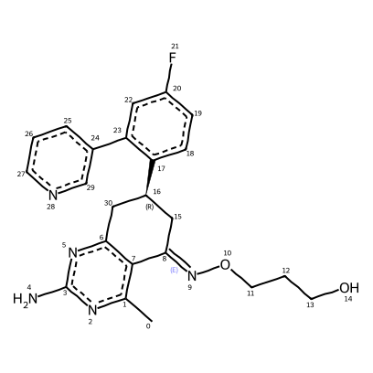 Cc1nc(N)nc2c1/C(=N/OCCCO)C[C@H](c1ccc(F)cc1-c1cccnc1)C2